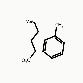 COCCCC(=O)O.Cc1ccccc1